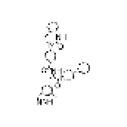 Cc1cc(CC(NC(=O)N2CCC(N3CCc4ccccc4NC3=O)CC2)C(=O)N2CCC(N3CCCCC3)CC2)cc2cn[nH]c12